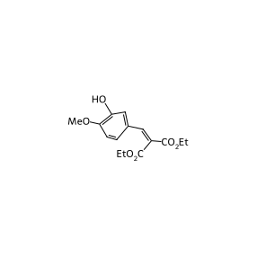 CCOC(=O)C(=Cc1ccc(OC)c(O)c1)C(=O)OCC